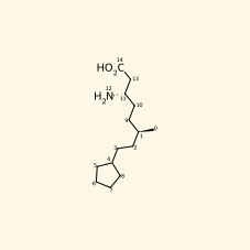 C[C@@H](CCC1CCCC1)CC[C@H](N)CC(=O)O